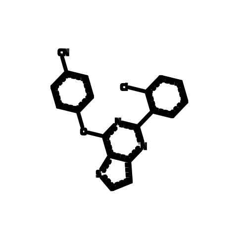 N#Cc1ccc(Oc2nc(-c3ccccc3Cl)nc3ccsc23)cc1